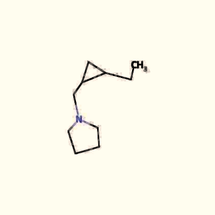 CCC1CC1CN1CCCC1